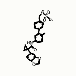 CCS(=O)(=O)N(C)Cc1ccc(-c2cc(NC(=O)C3(c4ccc5c(c4)OCO5)CC3)ccc2C)cc1